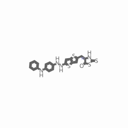 O=C1SC(=S)N/C1=C/c1cc2sc(NNc3ccc(Nc4ccccc4)cc3)cc2s1